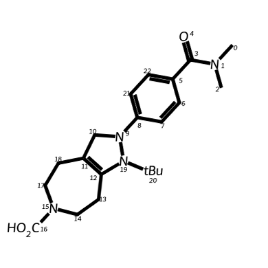 CN(C)C(=O)c1ccc(N2CC3=C(CCN(C(=O)O)CC3)N2C(C)(C)C)cc1